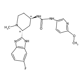 COc1ccc(NC(=O)N[C@@H]2CCN(C)[C@@H](c3nc4ccc(F)cc4[nH]3)C2)cn1